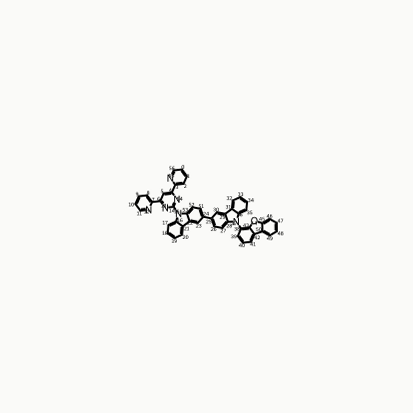 c1ccc(-c2cc(-c3ccccn3)nc(-n3c4ccccc4c4cc(-c5ccc6c(c5)c5ccccc5n6-c5cccc6c5oc5ccccc56)ccc43)n2)nc1